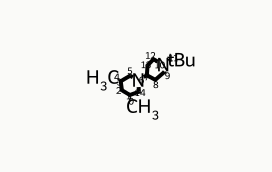 C[C@@H]1C[C@H](C)CN(C2CCN(C(C)(C)C)CC2)C1